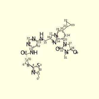 Cc1csc([C@H]2C[C@@H]2C(=O)Nc2cc(NCc3cn4cc(C5CC5)cc(N5CC(=O)N(C)C5=O)c4n3)ncn2)n1